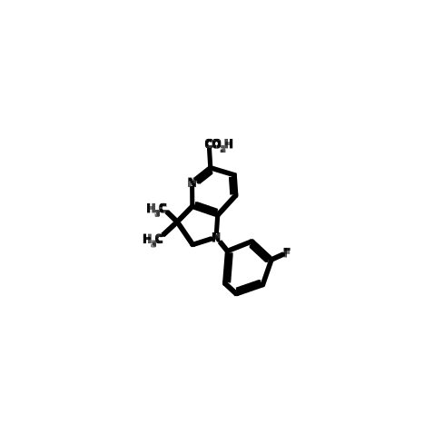 CC1(C)CN(c2cccc(F)c2)c2ccc(C(=O)O)nc21